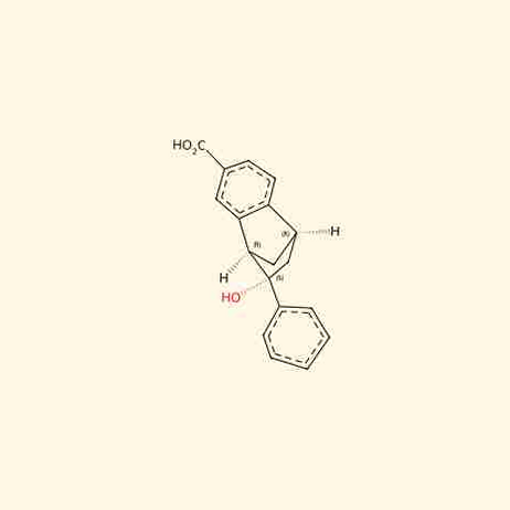 O=C(O)c1ccc2c(c1)[C@H]1C[C@@H]2C[C@@]1(O)c1ccccc1